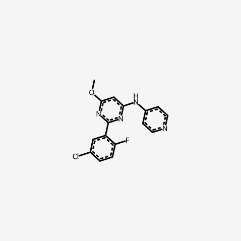 COc1cc(Nc2ccncc2)nc(-c2cc(Cl)ccc2F)n1